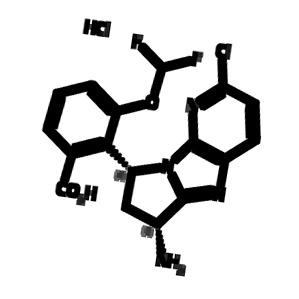 Cl.N[C@@H]1C[C@H](c2c(OC(F)F)cccc2C(=O)O)n2c1nc1ccc(Cl)nc12